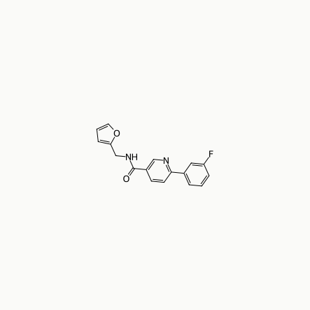 O=C(NCc1ccco1)c1ccc(-c2cccc(F)c2)nc1